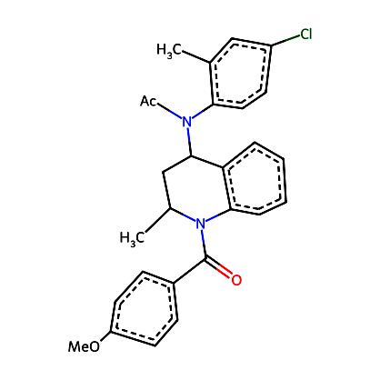 COc1ccc(C(=O)N2c3ccccc3C(N(C(C)=O)c3ccc(Cl)cc3C)CC2C)cc1